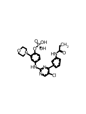 C=CC(=O)Nc1cccc(-c2nc(Nc3ccc(OP(=O)(O)O)c(N4CCOCC4)c3)ncc2Cl)c1